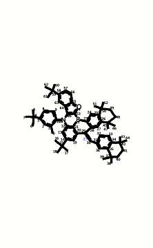 Cc1cc(C(C)(C)C)ccc1N1c2cc(C(C)(C)C)cc3c2B(c2cc4c(cc2/C3=C\c2ccc3c(c2)C(C)(C)CCC3(C)C)C(C)(C)CCC4(C)C)c2oc3ccc(C(C)(C)C)cc3c21